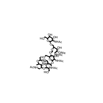 CO[C@H](CNC(C)=O)[C@H](O)C(CO[C@H]1OC(CO)[C@@H](O)[C@H](O)C1NC(C)=O)OCO[C@H]1C(CO)O[C@H](OC(C)C(CO)O[C@H](O[C@@H](CNC(C)=O)[C@H](NC(C)=O)C(C)OC(C)O)[C@H](CO)NC(C)=O)C(NC(C)=O)[C@H]1O